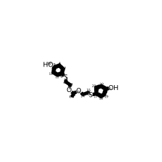 CC(OCCSc1ccc(O)cc1)OCCSc1ccc(O)cc1